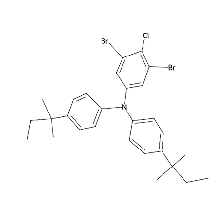 CCC(C)(C)c1ccc(N(c2ccc(C(C)(C)CC)cc2)c2cc(Br)c(Cl)c(Br)c2)cc1